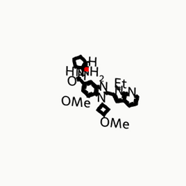 CCn1c(-c2nc3cc(C(=O)N4C[C@H]5CC[C@@H]4[C@@H]5N)cc(OC)c3n2[C@H]2C[C@@H](OC)C2)cc2cccnc21